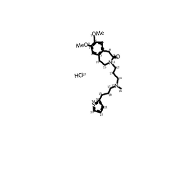 COc1cc2c(cc1OC)CC(=O)N(CCCN(C)CCCc1cccs1)CC2.Cl